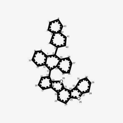 c1ccc2cc(-c3c4ccccc4c(-c4cccc5c4oc4c5ccc5oc6ccccc6c54)c4ccccc34)ccc2c1